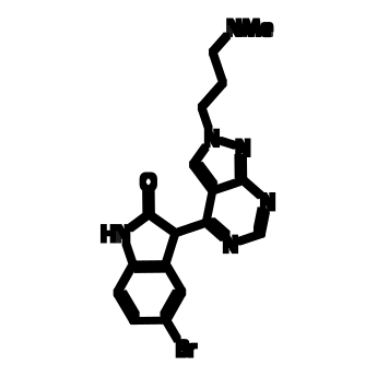 CNCCCn1cc2c(C3C(=O)Nc4ccc(Br)cc43)ncnc2n1